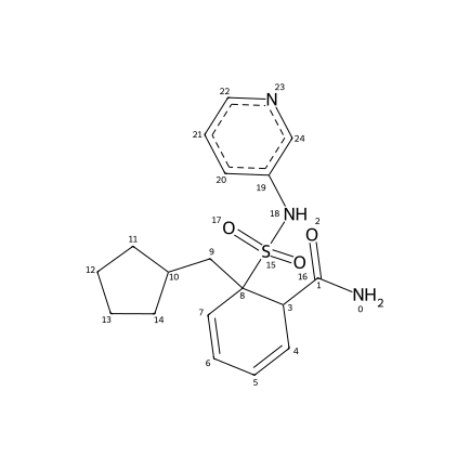 NC(=O)C1C=CC=CC1(CC1CCCC1)S(=O)(=O)Nc1cccnc1